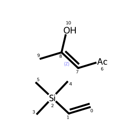 C=C[Si](C)(C)C.CC(=O)/C=C(/C)O